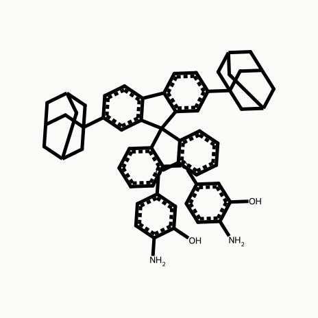 Nc1ccc(Oc2ccccc2C2(c3ccccc3Oc3ccc(N)c(O)c3)c3cc(C45CC6CC(CC(C6)C4)C5)ccc3-c3ccc(C45CC6CC(CC(C6)C4)C5)cc32)cc1O